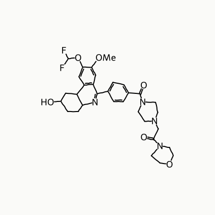 COc1cc2c(cc1OC(F)F)C1CC(O)CCC1N=C2c1ccc(C(=O)N2CCN(CC(=O)N3CCOCC3)CC2)cc1